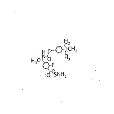 C[C@@H](NC(=O)C1CC1c1ccc(C(C)(C)C)cc1)c1ccc(C(=O)OSN)c(F)c1